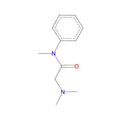 CN(C)CC(=O)N(C)c1ccccc1